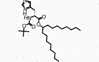 CCCCCCCCC(CCCCCCCC)OC(=O)[C@@H](Cc1cnc[nH]1)NC(=O)OC(C)(C)C